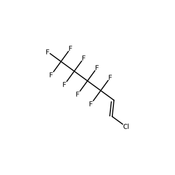 FC(F)(F)C(F)(F)C(F)(F)C(F)(F)C=CCl